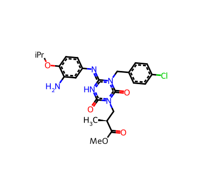 COC(=O)[C@@H](C)Cn1c(=O)[nH]/c(=N\c2ccc(OC(C)C)c(N)c2)n(Cc2ccc(Cl)cc2)c1=O